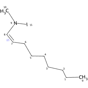 CCCCCCC/C=C\N(C)I